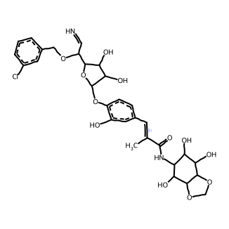 C/C(=C\c1ccc(OC2OC(C(C=N)OCc3cccc(Cl)c3)C(O)C2O)c(O)c1)C(=O)NC1C(O)C(O)C2OCOC2C1O